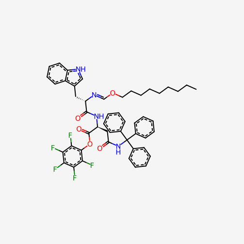 CCCCCCCCCO/C=N/[C@@H](Cc1c[nH]c2ccccc12)C(=O)N[C@@H](CC(=O)NC(c1ccccc1)(c1ccccc1)c1ccccc1)C(=O)Oc1c(F)c(F)c(F)c(F)c1F